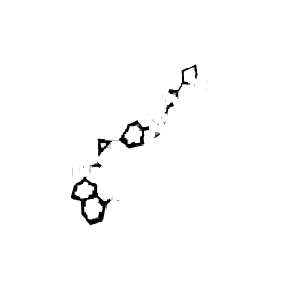 O=C(Nc1ccc2cccc(Cl)c2c1)[C@@H]1C[C@H]1c1ccc(S(=O)(=O)Nc2ncc(C3CCCN3)s2)cc1